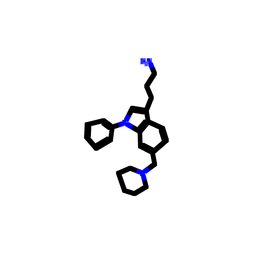 NCCCc1cn(-c2ccccc2)c2cc(CN3CCCCC3)ccc12